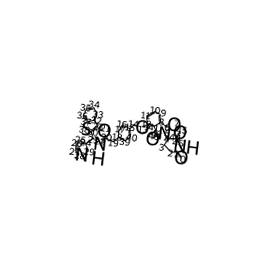 O=C1CCC(N2C(=O)c3cccc(OCc4ccc(CC(=O)NC(c5cccnc5)c5cc6ccccc6s5)cc4)c3C2=O)C(=O)N1